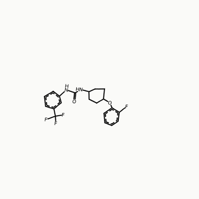 O=C(Nc1cccc(C(F)(F)F)c1)NC1CCC(Oc2ccccc2F)CC1